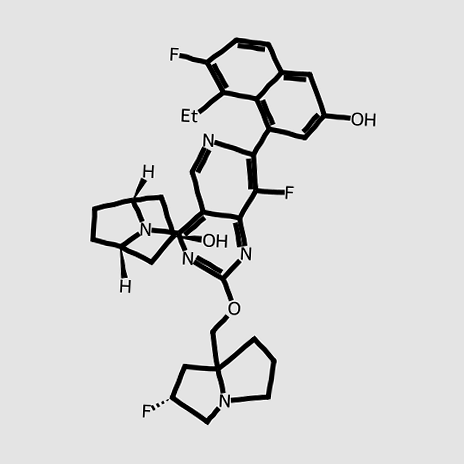 CCc1c(F)ccc2cc(O)cc(-c3ncc4c(N5[C@@H]6CC[C@H]5C[C@H](O)C6)nc(OCC56CCCN5C[C@H](F)C6)nc4c3F)c12